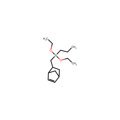 CCC[Si](CC1CC2C=CC1C2)(OCC)OCC